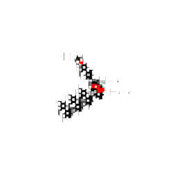 CCCCCCC(F)(F)C(F)(F)C(F)(F)P(c1cc(F)c(F)c(C(F)(F)F)c1F)C(F)(F)C(F)(F)C(F)(F)CCCCCC.Cc1cc(-c2c(F)c(F)c(F)c(F)c2F)c(F)c(F)c1F.Cc1cc(-c2c(F)c(F)c(F)c(F)c2F)c(F)c(F)c1F.Cc1cc(-c2c(F)c(F)c(F)c(F)c2F)c(F)c(F)c1F.Cc1cc(-c2c(F)c(F)c(F)c(F)c2F)c(F)c(F)c1F.[O]=[Al][OH]